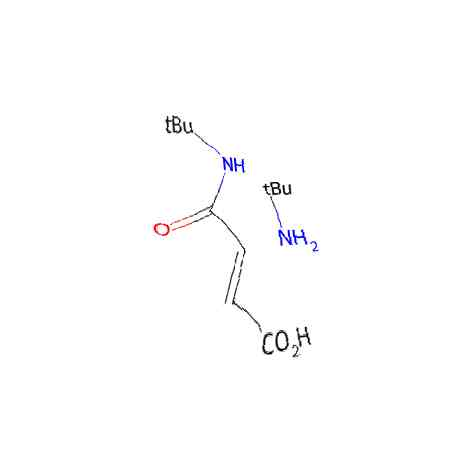 CC(C)(C)N.CC(C)(C)NC(=O)C=CC(=O)O